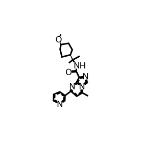 CO[C@H]1CC[C@@H](C(C)(C)NC(=O)c2ncn3c(C)cc(-c4cccnc4)nc23)CC1